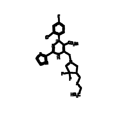 CCOC(=O)C1=C(CN2CC(CSCC(=O)O)C(F)(F)C2)NC(c2nccs2)=N[C@H]1c1ccc(F)cc1Cl